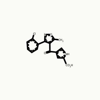 Cc1onc(-c2ccccc2Cl)c1C(=O)c1c[nH]c(C(=O)O)c1